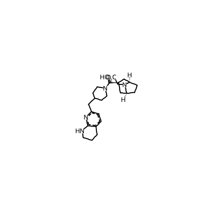 O=C(O)CN1[C@@H]2CC[C@H]1C[C@@H](C(=O)N1CCC(Cc3ccc4c(n3)NCCC4)CC1)C2